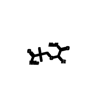 CCC(OCC(C)(C)C(=O)NC)C(=O)NC